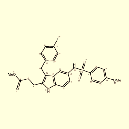 COC(=O)CCc1[nH]c2ccc(NS(=O)(=O)c3ccc(OC)cc3)cc2c1Cc1ccc(F)cc1